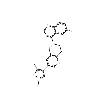 Cc1nn(C)cc1-c1cnc2c(c1)CN(c1ncnc3ccc(Cl)cc13)CC2